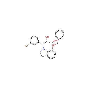 OC[C@@H](O)[C@@H](c1cccc(Br)c1)N1CCc2cccc(OCc3ccccc3)c21